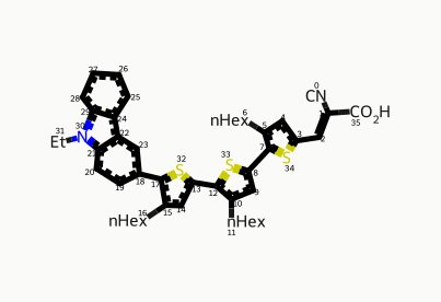 [C-]#[N+]/C(=C\c1cc(CCCCCC)c(-c2cc(CCCCCC)c(-c3cc(CCCCCC)c(-c4ccc5c(c4)c4ccccc4n5CC)s3)s2)s1)C(=O)O